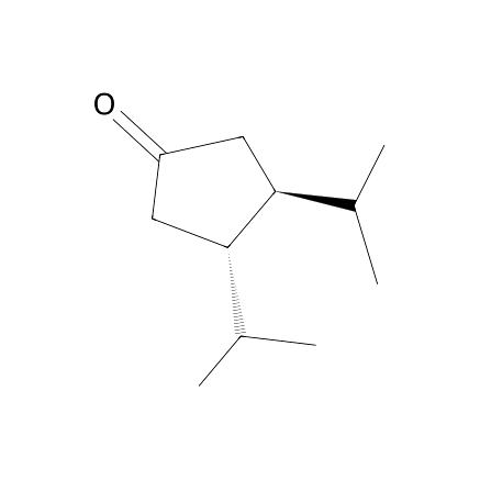 CC(C)[C@@H]1CC(=O)C[C@H]1C(C)C